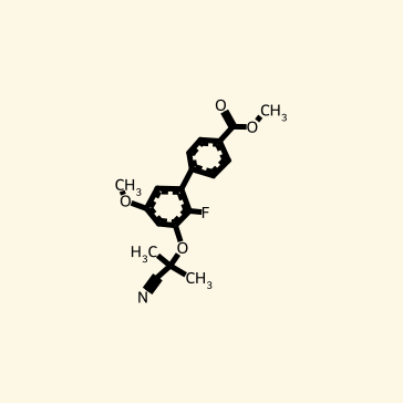 COC(=O)c1ccc(-c2cc(OC)cc(OC(C)(C)C#N)c2F)cc1